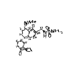 CN[C@H]1CC[C@@H](c2ccc(Cl)c(Cl)c2)c2ccc(CNS(N)(=O)=O)cc21